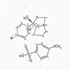 Cc1ccc(S(=O)(=O)O)cc1.O[C@@]1(c2ccc(Br)cc2)CCN2CCC[C@H]21